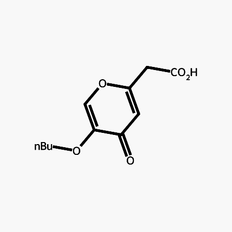 CCCCOc1coc(CC(=O)O)cc1=O